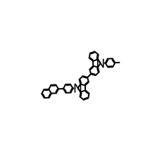 Cc1ccc(-n2c3ccccc3c3cc(-c4ccc5c(c4)c4ccccc4n5-c4ccc(-c5ccc6ccccc6c5)cc4)ccc32)cc1